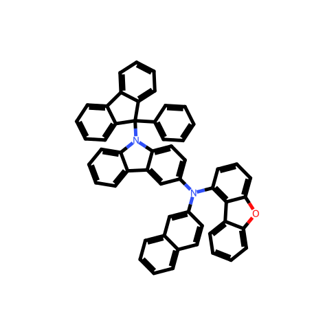 c1ccc(C2(n3c4ccccc4c4cc(N(c5ccc6ccccc6c5)c5cccc6oc7ccccc7c56)ccc43)c3ccccc3-c3ccccc32)cc1